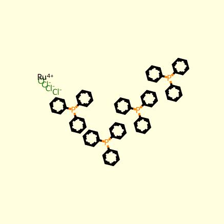 [Cl-].[Cl-].[Cl-].[Cl-].[Ru+4].c1ccc(P(c2ccccc2)c2ccccc2)cc1.c1ccc(P(c2ccccc2)c2ccccc2)cc1.c1ccc(P(c2ccccc2)c2ccccc2)cc1.c1ccc(P(c2ccccc2)c2ccccc2)cc1